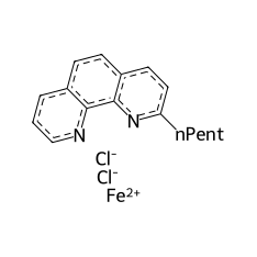 CCCCCc1ccc2ccc3cccnc3c2n1.[Cl-].[Cl-].[Fe+2]